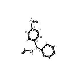 C=CO[C@@H](c1ccccc1)c1ccc(OC)cc1